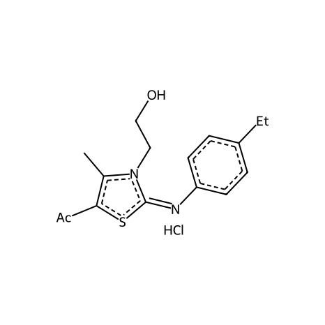 CCc1ccc(N=c2sc(C(C)=O)c(C)n2CCO)cc1.Cl